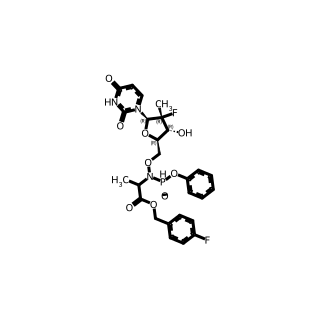 CC(C(=O)OCc1ccc(F)cc1)N(OC[C@H]1O[C@@H](n2ccc(=O)[nH]c2=O)[C@](C)(F)[C@@H]1O)[PH](=O)Oc1ccccc1